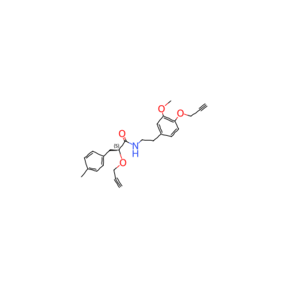 C#CCOc1ccc(CCNC(=O)[C@H](Cc2ccc(C)cc2)OCC#C)cc1OC